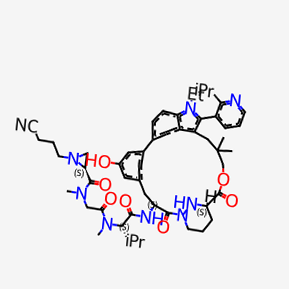 CCn1c(-c2cccnc2C(C)C)c2c3cc(ccc31)-c1cc(O)cc(c1)C[C@H](NC(=O)[C@H](C(C)C)N(C)C(=O)CN(C)C(=O)[C@@H]1CN1CCCC#N)C(=O)N1CCC[C@H](N1)C(=O)OCC(C)(C)C2